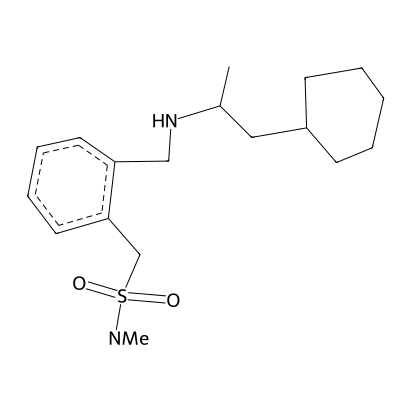 CNS(=O)(=O)Cc1ccccc1CNC(C)CC1CCCCC1